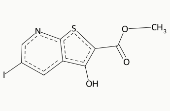 COC(=O)c1sc2ncc(I)cc2c1O